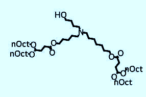 CCCCCCCCOC(CCC(=O)OCCCCCCCN(CCCCO)CCCCCOC(=O)CCC(OCCCCCCCC)OCCCCCCCC)OCCCCCCCC